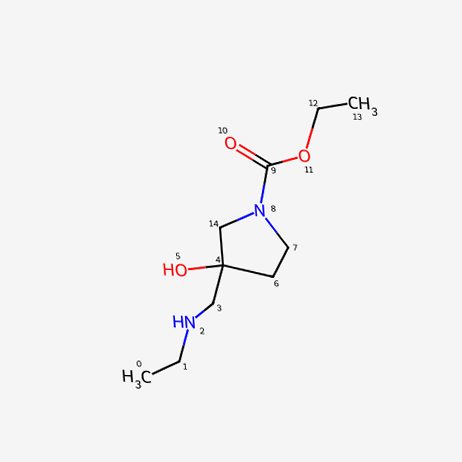 CCNCC1(O)CCN(C(=O)OCC)C1